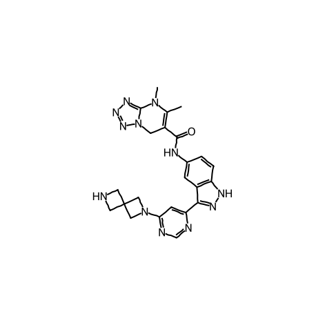 CC1=C(C(=O)Nc2ccc3[nH]nc(-c4cc(N5CC6(CNC6)C5)ncn4)c3c2)Cn2nnnc2N1C